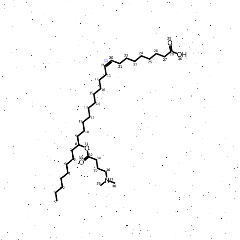 CCCCCCCCC(CCCCCCCCCC/C=C\CCCCCCCC(=O)O)OC(=O)CCCN(C)C